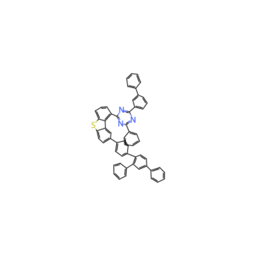 c1ccc(-c2cccc(-c3nc(-c4ccccc4)nc(-c4cccc5sc6ccc(-c7ccc(-c8ccc(-c9ccccc9)cc8-c8ccccc8)cc7)cc6c45)n3)c2)cc1